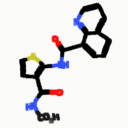 O=C(O)NC(=O)c1ccsc1NC(=O)c1cccc2cccnc12